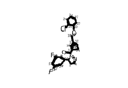 O=C(N1N=CCC1c1cc(F)cc(F)c1)C12CC(COc3ccccc3Cl)C(C1)C2